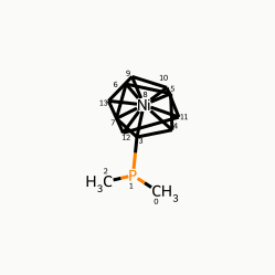 CP(C)[C]12[CH]3[CH]4[CH]5[CH]1[Ni]45321678[CH]2[CH]1[CH]6[CH]7[CH]28